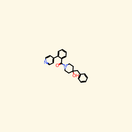 O=C(c1ccccc1-c1ccncc1)N1CCC(O)(Cc2ccccc2)CC1